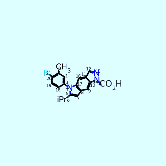 Cc1cc(-n2c(C(C)C)cc3cc4c(cnn4C(=O)O)cc32)ccc1F